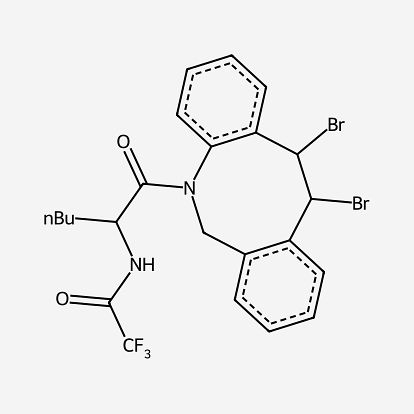 CCCCC(NC(=O)C(F)(F)F)C(=O)N1Cc2ccccc2C(Br)C(Br)c2ccccc21